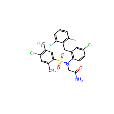 Cc1cc(S(=O)(=O)N(CC(N)=O)c2ccc(Cl)cc2Cc2c(F)cccc2F)c(C)cc1Cl